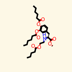 CCCCCC(=O)Oc1ccc(C[C@H](NCCOC(=O)CCCC)C(=O)OC)cc1OC(=O)CCCCC